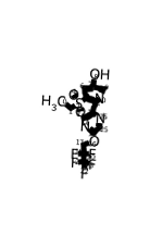 CCS(=O)(=O)c1cc(O)cnc1-c1cnc(OCC(F)(F)C(F)(F)F)cn1